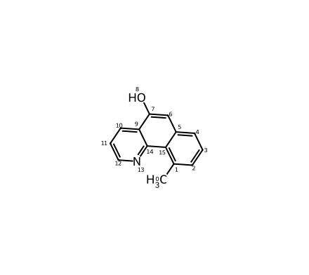 Cc1cccc2cc(O)c3cccnc3c12